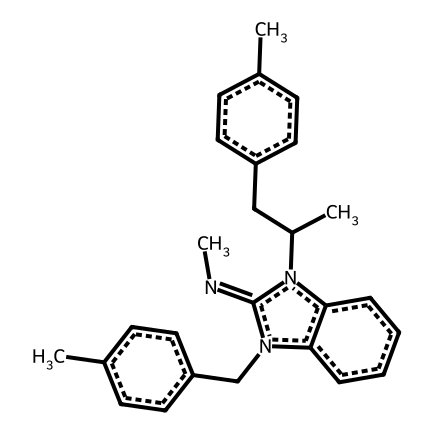 CN=c1n(Cc2ccc(C)cc2)c2ccccc2n1C(C)Cc1ccc(C)cc1